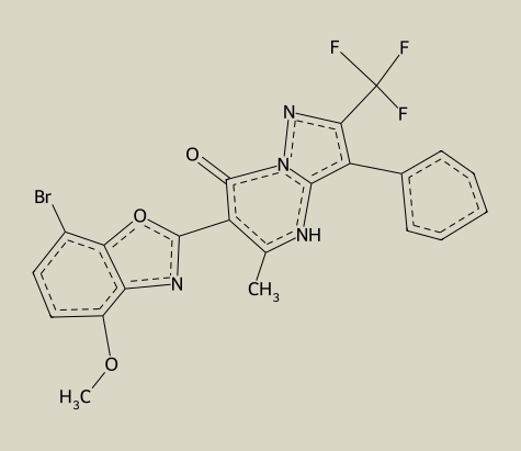 COc1ccc(Br)c2oc(-c3c(C)[nH]c4c(-c5ccccc5)c(C(F)(F)F)nn4c3=O)nc12